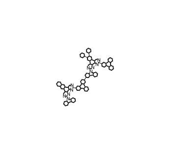 c1ccc(-c2cc3c(cc2-c2ccccc2)c2cnc(-n4c5ccccc5c5cc(-c6ccc7c(c6)c6ccccc6c6ccc(-c8ncc9c%10cc%11ccccc%11cc%10c%10cnc(-n%11c%12ccccc%12c%12ccccc%12%11)nc%10c9n8)cc67)ccc54)nc2c2nc(-c4ccc5c6ccccc6c6ccccc6c5c4)ncc32)cc1